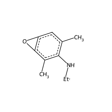 C[C]Nc1c(C)cc2c(c1C)O2